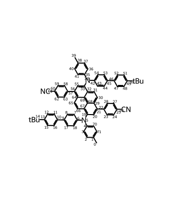 Cc1ccc(N(c2ccc(-c3ccc(C(C)(C)C)cc3)cc2)c2cc(-c3ccc(C#N)cc3)c3ccc4c(N(c5ccc(C)cc5)c5ccc(-c6ccc(C(C)(C)C)cc6)cc5)cc(-c5ccc(C#N)cc5)c5ccc2c3c54)cc1